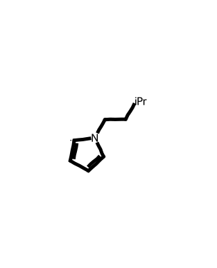 CC(C)CCn1[c]ccc1